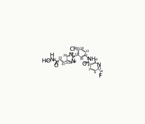 Cc1nc(CF)ccc1C(=O)Nc1ccc(Cl)c(-c2ncc(/C=C/C(=O)NO)cn2)c1